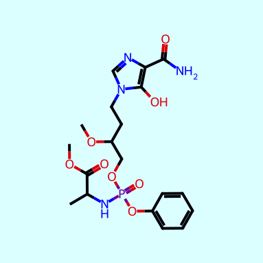 COC(=O)C(C)NP(=O)(OCC(CCn1cnc(C(N)=O)c1O)OC)Oc1ccccc1